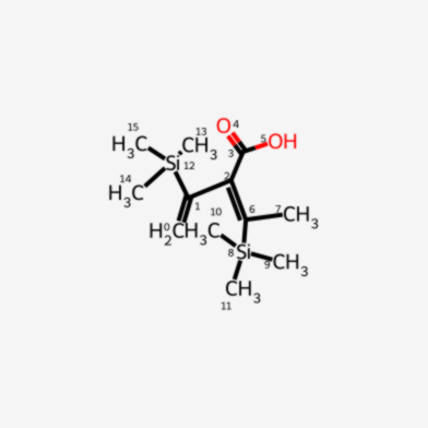 C=C(C(C(=O)O)=C(C)[Si](C)(C)C)[Si](C)(C)C